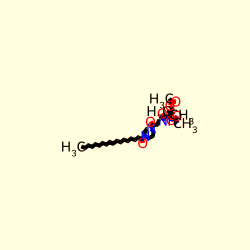 CCCCCCCCC=CCCCCCCCC(=O)N1CCCN(C(=O)CCNC(=O)C(OC(C)=O)C(C)(C)COC(C)=O)CC1